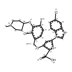 C[C@@H](Oc1cc(-n2cnc3cc(Cl)ccc32)sc1C(=O)O)c1ccc(F)c(OC2CCN(C)CC2)c1Cl